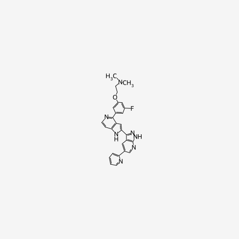 CN(C)CCOc1cc(F)cc(-c2nccc3[nH]c(-c4n[nH]c5ncc(-c6ccccn6)cc45)cc23)c1